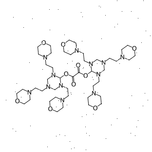 O=C(OC1N(CCN2CCOCC2)CN(CCN2CCOCC2)CN1CCN1CCOCC1)C(=O)OC1N(CCN2CCOCC2)CN(CCN2CCOCC2)CN1CCN1CCOCC1